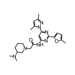 Cc1cc(C)n(-c2cc(NC(=O)CN3CCCC(N(C)C)C3)nc(-c3ccc(C)o3)n2)n1